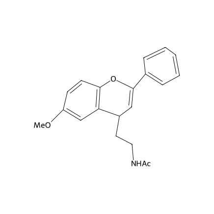 COc1ccc2c(c1)C(CCNC(C)=O)C=C(c1ccccc1)O2